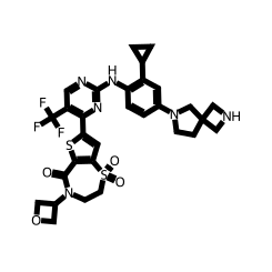 O=C1c2sc(-c3nc(Nc4ccc(N5CCC6(CNC6)C5)cc4C4CC4)ncc3C(F)(F)F)cc2S(=O)(=O)CCN1C1COC1